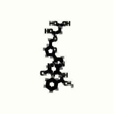 CC(Nc1nc(Cl)nn2c(C3CCC(COP(O)CP(O)O)O3)cnc12)c1ccccc1